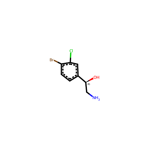 NC[C@H](O)c1ccc(Br)c(Cl)c1